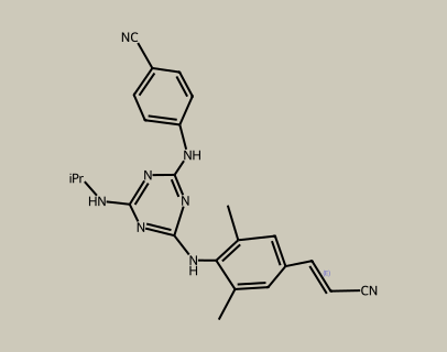 Cc1cc(/C=C/C#N)cc(C)c1Nc1nc(Nc2ccc(C#N)cc2)nc(NC(C)C)n1